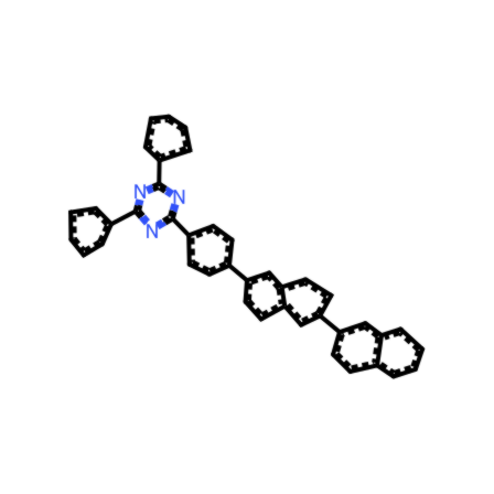 c1ccc(-c2nc(-c3ccccc3)nc(-c3ccc(-c4ccc5cc(-c6ccc7ccccc7c6)ccc5c4)cc3)n2)cc1